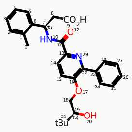 Cc1ccccc1[C@@H](CC(=O)O)NC(=O)c1ccc(OC[C@@H](O)C(C)(C)C)c(-c2ccccc2)n1